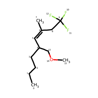 CCCCC(/C=C(/C)CC(F)(F)F)COC